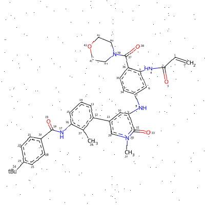 C=CC(=O)Nc1cc(Nc2cc(-c3cccc(NC(=O)c4ccc(C(C)(C)C)cc4)c3C)cn(C)c2=O)ccc1C(=O)N1CCOCC1